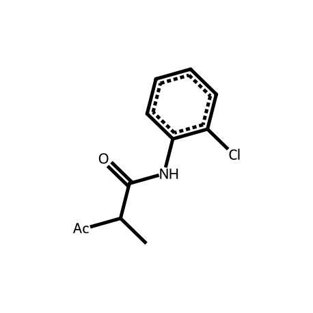 CC(=O)C(C)C(=O)Nc1ccccc1Cl